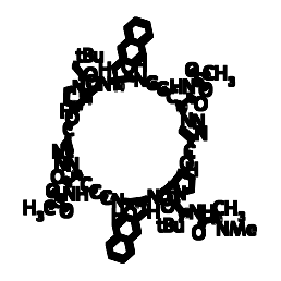 CN[C@@H](C)C(=O)N[C@H](C(=O)N1CC[C@H]2OCc3cn(nn3)[C@H](C(=O)NS(C)(=O)=O)CCCNC(=O)[C@H](Cc3ccc4ccccc4c3)NC(=O)[C@@H]3[C@@H](CCN3C(=O)CC(C)(C)C)OCc3cn(nn3)[C@H](C(=O)NS(C)(=O)=O)CCCNC(=O)[C@H](Cc3ccc4ccccc4c3)NC(=O)[C@H]21)C(C)(C)C